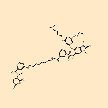 C=C(/C=C(\C=C(/C)OCCC)Oc1cc2c(cc1NS(=O)(=O)c1cccc(C(=O)NCCCCCCCCNc3cccc4c3CN(C3CCC(=O)NC3=O)C4O)c1)n(C)c(=O)n2C)OCCCCN(C)C